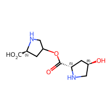 O=C(O)[C@@H]1CC(OC(=O)[C@@H]2C[C@@H](O)CN2)CN1